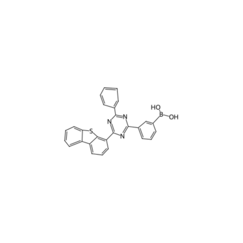 OB(O)c1cccc(-c2nc(-c3ccccc3)nc(-c3cccc4c3sc3ccccc34)n2)c1